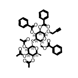 C#CCO[C@@H]1O[C@H](COC(=O)c2ccccc2)[C@@H](S[C@@H]2O[C@@H](C)[C@H](OC(C)=O)[C@@H](OC(C)=O)[C@H]2OC(C)=O)[C@H](OC(=O)c2ccccc2)[C@H]1OC(=O)c1ccccc1